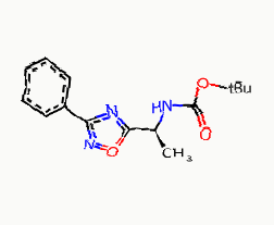 C[C@H](NC(=O)OC(C)(C)C)c1nc(-c2ccccc2)no1